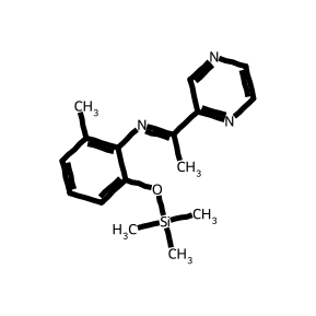 CC(=Nc1c(C)cccc1O[Si](C)(C)C)c1cnccn1